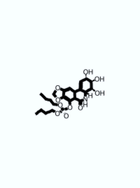 CCCCOP(=O)(OCCCC)OC1=C2OCOC2=CC2C3=C[C@H](O)[C@@H](O)[C@@H](O)[C@@H]3NC(=O)C12